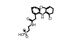 O=C(Cc1ccccc1NC1=C(Cl)CCC=C1Cl)NCCS(=O)(=O)O